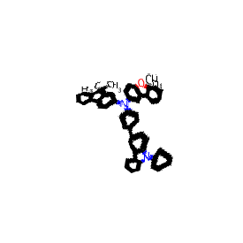 CC1(C)c2ccccc2-c2ccc(N(c3ccc(-c4ccc5c(c4)c4ccccc4n5-c4ccccc4)cc3)c3ccc4c(c3)C3C=CC=CC3(C)O4)cc21